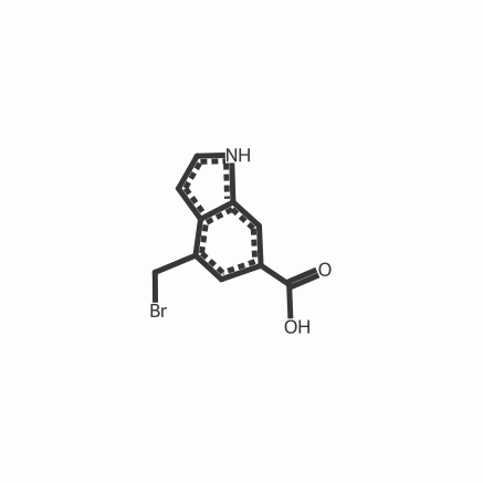 O=C(O)c1cc(CBr)c2cc[nH]c2c1